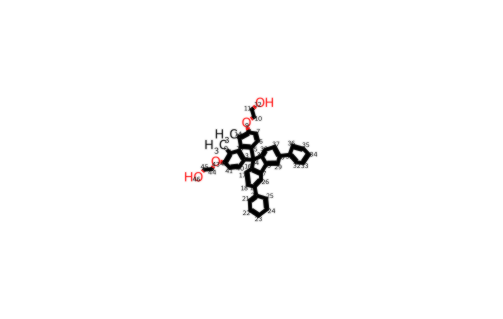 Cc1cc(C2(c3ccc(OCCO)c(C)c3)c3ccc(-c4ccccc4)cc3-c3cc(-c4ccccc4)ccc32)ccc1OCCO